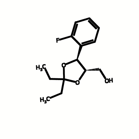 CCC1(CC)O[C@@H](CO)[C@H](c2ccccc2F)O1